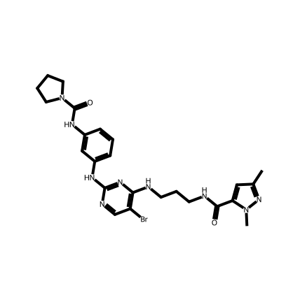 Cc1cc(C(=O)NCCCNc2nc(Nc3cccc(NC(=O)N4CCCC4)c3)ncc2Br)n(C)n1